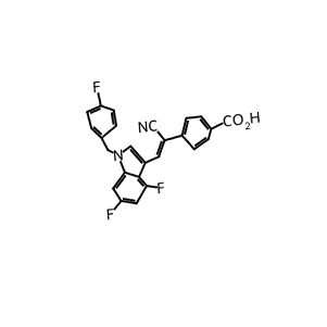 N#C/C(=C\c1cn(Cc2ccc(F)cc2)c2cc(F)cc(F)c12)c1ccc(C(=O)O)cc1